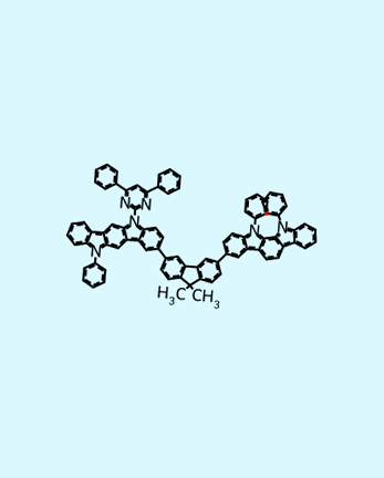 CC1(C)c2ccc(-c3ccc4c(c3)c3cc5c(cc3n4-c3nc(-c4ccccc4)cc(-c4ccccc4)n3)c3ccccc3n5-c3ccccc3)cc2-c2cc(-c3ccc4c(c3)c3ccc5c6ccccc6n(-c6ccccc6)c5c3n4-c3ccccc3)ccc21